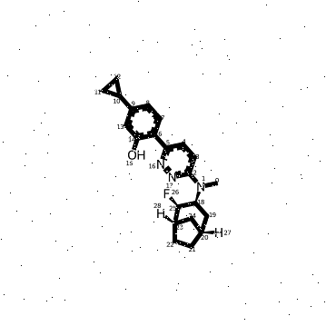 CN(c1ccc(-c2ccc(C3CC3)cc2O)nn1)[C@H]1C[C@@H]2CC[C@@H](C2)[C@H]1F